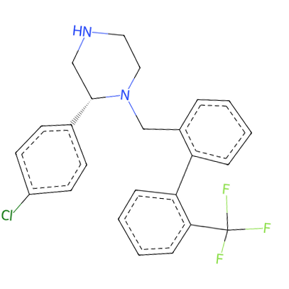 FC(F)(F)c1ccccc1-c1ccccc1CN1CCNC[C@H]1c1ccc(Cl)cc1